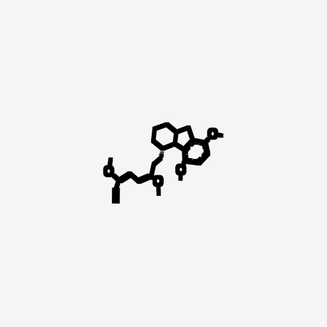 C#C/C(=C\C=C(/CC[C@@H]1CCCC2Cc3c(OC)ccc(OC)c3C21)OC)OC